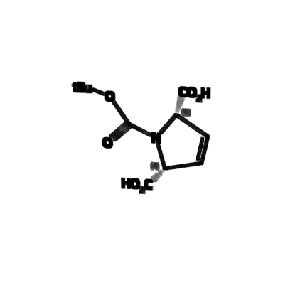 CC(C)(C)OC(=O)N1[C@@H](C(=O)O)C=C[C@H]1C(=O)O